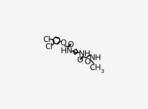 CCC1NCC(C(=O)NC23CC(NC(=O)COc4ccc(Cl)c(Cl)c4)(C2)C3)O1